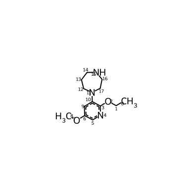 CCOc1ncc(OC)cc1N1CCCNCC1